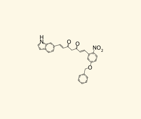 O=C(/C=C/c1ccc2cc[nH]c2c1)CC(=O)/C=C/c1cc(OCc2ccccc2)ccc1[N+](=O)[O-]